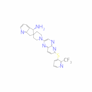 N[C@@H]1c2cccnc2CC12CCN(c1cnc3nc(Sc4cccnc4C(F)(F)F)ccc3n1)CC2